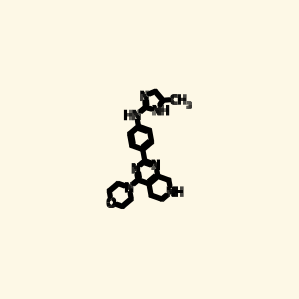 CC1CN=C(Nc2ccc(-c3nc4c(c(N5CCOCC5)n3)CCNC4)cc2)N1